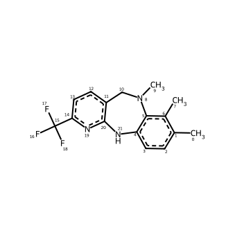 Cc1ccc2c(c1C)N(C)Cc1ccc(C(F)(F)F)nc1N2